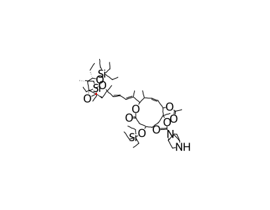 CC[C@H](O[Si](CC)(CC)CC)[C@@H](C)[C@H]1O[C@@H]1CC(C)(/C=C/C=C(\C)C1OC(=O)CC(O[Si](CC)(CC)CC)CCC(C)(OC(=O)N2CC3CC2CN3)C(OC(C)=O)C=CC1C)O[Si](CC)(CC)CC